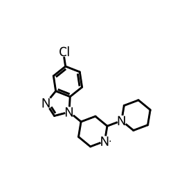 Clc1ccc2c(c1)ncn2C1CC[N]C(N2CCCCC2)C1